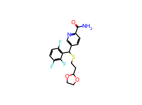 NC(=O)c1ccc(C(SCCC2OCCO2)c2c(F)ccc(F)c2F)cn1